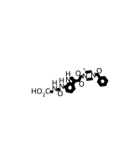 C[C@@H]1CN(C(=O)c2ccccc2)CCN1C(=O)C(=O)c1c[nH]c2c(NC(=O)NCC(=O)O)cccc12